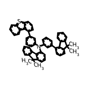 CC1(C)c2ccccc2-c2c(-c3cccc(N(c4cccc(-c5cccc6sc7ccccc7c56)c4)c4cccc5c4-c4ccccc4C5(C)C)c3)cccc21